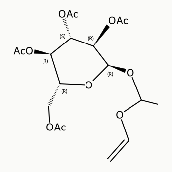 C=COC(C)O[C@H]1O[C@H](COC(C)=O)[C@@H](OC(C)=O)[C@H](OC(C)=O)[C@H]1OC(C)=O